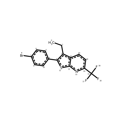 CCc1c(-c2ccc(Br)cc2)sc2nc(C(F)(F)F)ccc12